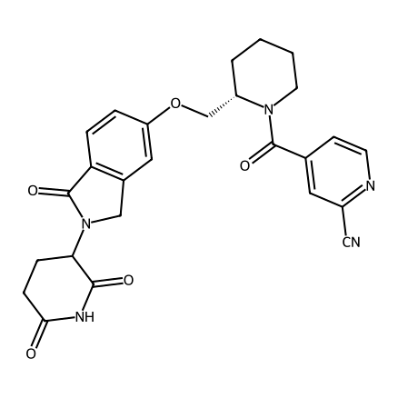 N#Cc1cc(C(=O)N2CCCC[C@H]2COc2ccc3c(c2)CN(C2CCC(=O)NC2=O)C3=O)ccn1